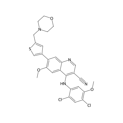 COc1cc(Nc2c(C#N)cnc3cc(-c4csc(CN5CCOCC5)c4)c(OC)cc23)c(Cl)cc1Cl